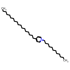 CCCCCCCCCCCCCCCCCCc1cc[n+](CCCCCCCCCCCC)cc1